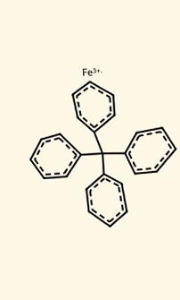 [Fe+3].c1ccc(C(c2ccccc2)(c2ccccc2)c2ccccc2)cc1